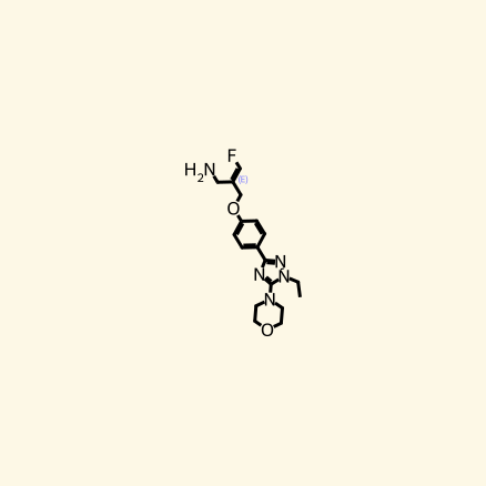 CCn1nc(-c2ccc(OC/C(=C/F)CN)cc2)nc1N1CCOCC1